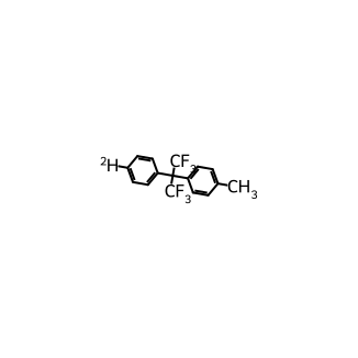 [2H]c1ccc(C(c2ccc(C)cc2)(C(F)(F)F)C(F)(F)F)cc1